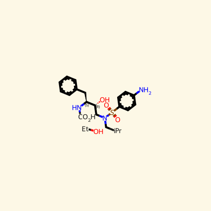 CC(C)CN(C[C@@H](O)[C@H](Cc1ccccc1)NC(=O)O)S(=O)(=O)c1ccc(N)cc1.CCO